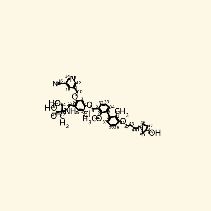 COc1c(COc2cc(OCc3cncc(C#N)c3)c(CNC(C)(CO)C(=O)O)cc2Cl)cccc1-c1cccc(OCCCN2CC[C@@H](O)C2)c1C